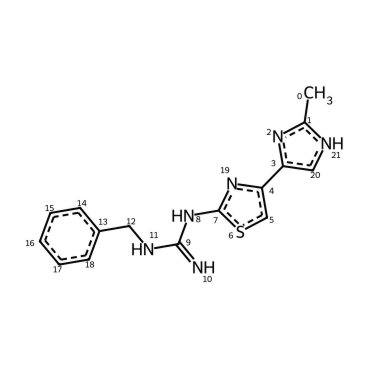 Cc1nc(-c2csc(NC(=N)NCc3ccccc3)n2)c[nH]1